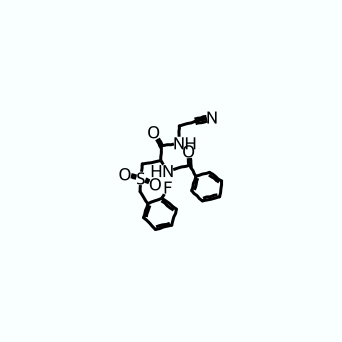 N#CCNC(=O)C(CS(=O)(=O)Cc1ccccc1F)NC(=O)c1ccccc1